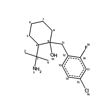 CC(C)(N)C1CCCCC1(O)Cc1ccc(Cl)cc1F